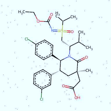 CCOC(=O)N=S(=O)(C[C@H](C(C)C)N1C(=O)[C@@](C)(CC(=O)O)C[C@H](c2cccc(Cl)c2)[C@H]1c1ccc(Cl)cc1)C(C)C